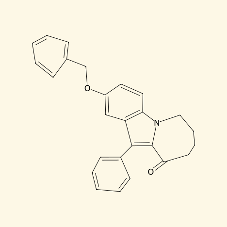 O=C1CCCCn2c1c(-c1ccccc1)c1cc(OCc3ccccc3)ccc12